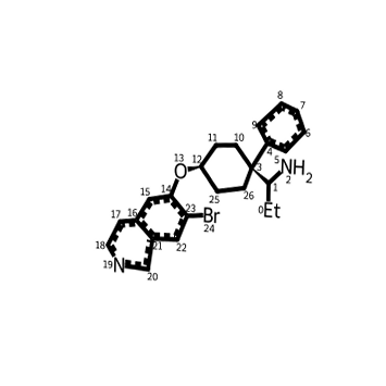 CCC(N)[C@]1(c2ccccc2)CC[C@H](Oc2cc3ccncc3cc2Br)CC1